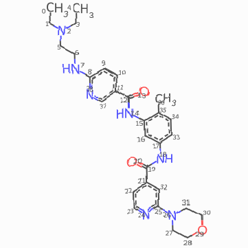 CCN(CC)CCNc1ccc(C(=O)Nc2cc(NC(=O)c3ccnc(N4CCOCC4)c3)ccc2C)cn1